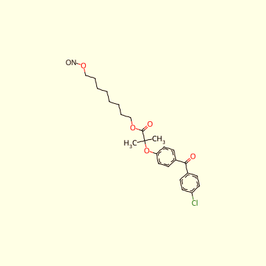 CC(C)(Oc1ccc(C(=O)c2ccc(Cl)cc2)cc1)C(=O)OCCCCCCCCON=O